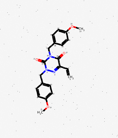 C=Cc1nn(Cc2ccc(OC)cc2)c(=O)n(Cc2ccc(OC)cc2)c1=O